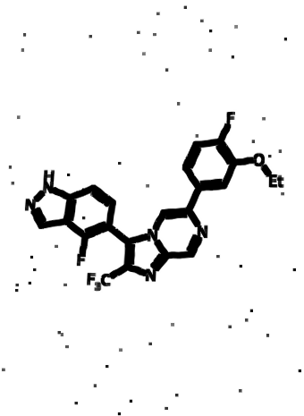 CCOc1cc(-c2cn3c(-c4ccc5[nH]ncc5c4F)c(C(F)(F)F)nc3cn2)ccc1F